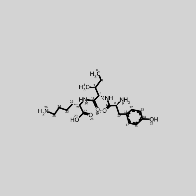 CC[C@H](C)[C@H](NC(=O)[C@@H](N)Cc1ccc(O)cc1)C(=O)N[C@@H](CCCCN)C(=O)O